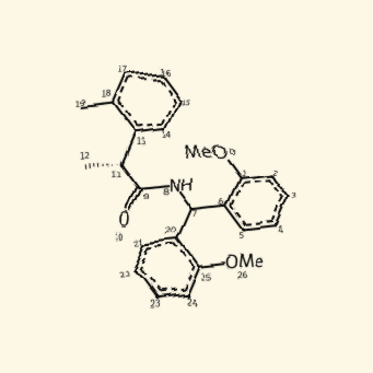 COc1ccccc1C(NC(=O)[C@H](C)c1ccccc1C)c1ccccc1OC